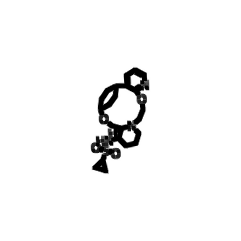 O=S(=O)(NC1CCCN2CCOc3ncccc3C3CCC(CC3)OC[C@@H]12)C1CC1